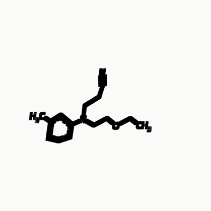 CCOCCN(CCC#N)c1cccc(C)c1